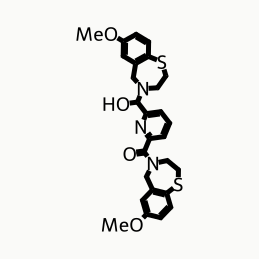 COc1ccc2c(c1)CN(C(=O)c1cccc(C(O)N3CCSc4ccc(OC)cc4C3)n1)CCS2